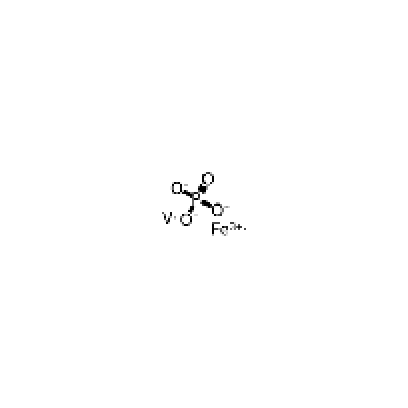 O=P([O-])([O-])[O-].[Fe+3].[V]